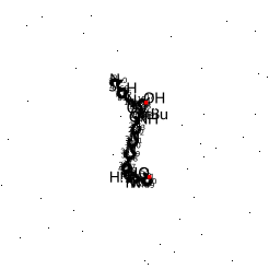 Cc1ncsc1-c1ccc(CNC(=O)[C@@H]2C[C@@H](O)CN2C(=O)[C@@H](NC(=O)C2CCC(N3CCC(N4CCC(c5ccc6[nH]c7nnc(-c8ccccc8O)cc7c6c5)CC4)CC3)CC2)C(C)(C)C)cc1